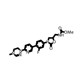 COC(=O)NCC1CN(c2ccc(-c3ccc(N4CCN(C)C=N4)nc3)c(F)c2)C(=O)O1